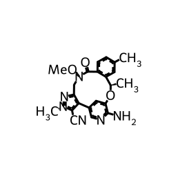 CON1Cc2nn(C)c(C#N)c2-c2cnc(N)c(c2)O[C@H](C)c2cc(C)ccc2C1=O